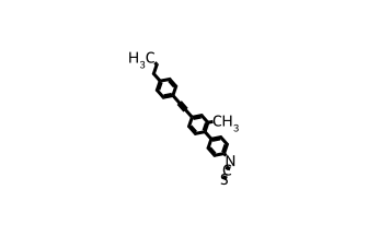 CCCc1ccc(C#Cc2ccc(-c3ccc(N=C=S)cc3)c(C)c2)cc1